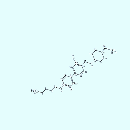 CCCCCOc1ccc(-c2ccc(CC[C@H]3CC[C@H](CC)CC3)c(F)c2)nn1